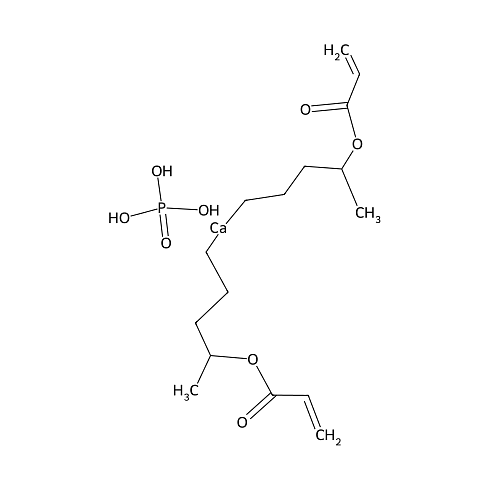 C=CC(=O)OC(C)CC[CH2][Ca][CH2]CCC(C)OC(=O)C=C.O=P(O)(O)O